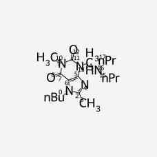 CCCCn1c(C)nc2c1c(=O)n(C)c(=O)n2C.CCCNCCC